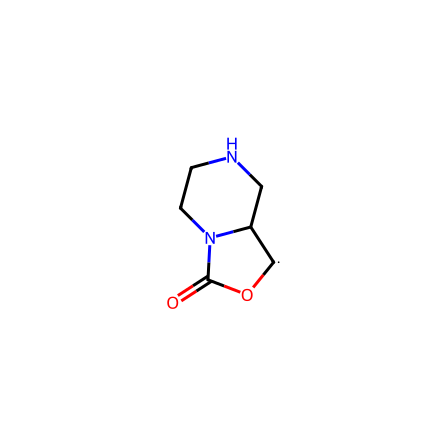 O=C1O[CH]C2CNCCN12